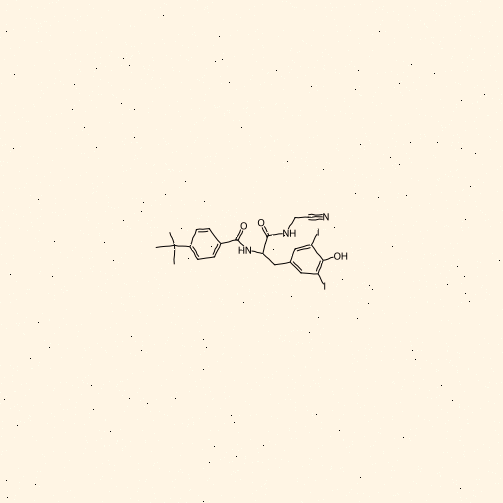 CC(C)(C)c1ccc(C(=O)NC(Cc2cc(I)c(O)c(I)c2)C(=O)NCC#N)cc1